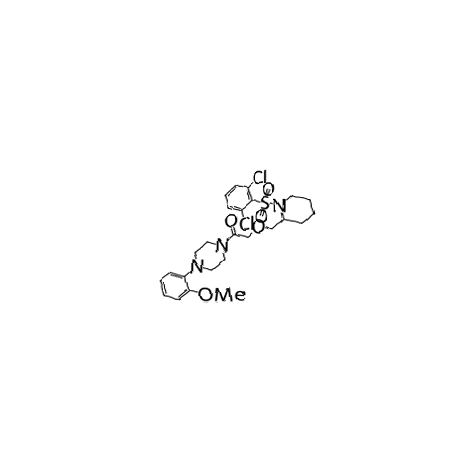 COc1ccccc1N1CCN(C(=O)COCC2CCCCN2S(=O)(=O)c2c(Cl)cccc2Cl)CC1